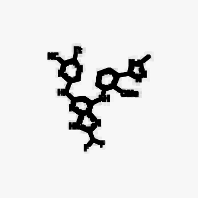 CCc1ncc(Nc2cc(Nc3cccc(-c4nnn(C)n4)c3OC)c3nc(C(F)F)[nH]c3n2)nc1C#N